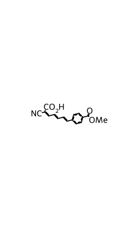 COC(=O)c1ccc(C=CC=CC=C(C#N)C(=O)O)cc1